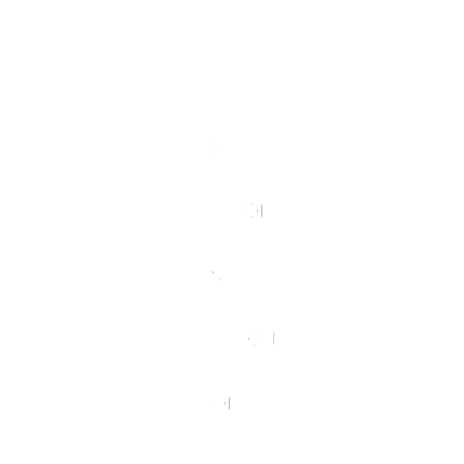 C=CCSCC(O)CSCC(O)CO